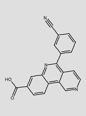 N#Cc1cccc(-c2nc3cc(C(=O)O)ccc3c3cnccc23)c1